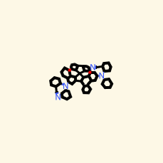 N#Cc1ccccc1N(c1ccccc1)c1ccc2c3c(c4ccccc4c2c1)-c1cc(N(c2ccccc2)c2ccccc2C#N)c2ccccc2c1C31c2ccccc2-c2ccccc21